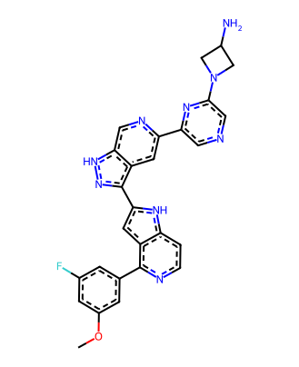 COc1cc(F)cc(-c2nccc3[nH]c(-c4n[nH]c5cnc(-c6cncc(N7CC(N)C7)n6)cc45)cc23)c1